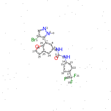 Cn1ncc(Br)c1-c1cc(NC(=O)Nc2ccc(C(F)(F)F)cc2)cc2ccoc12